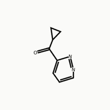 O=C(c1cccnn1)C1CC1